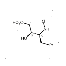 CC(C)C[C@H](NCl)[C@@H](O)CC(=O)O